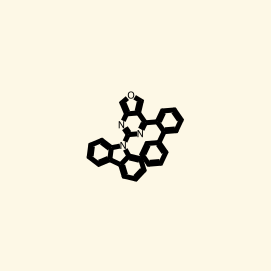 c1ccc(-c2ccccc2-c2nc(-n3c4ccccc4c4ccccc43)nc3cocc23)cc1